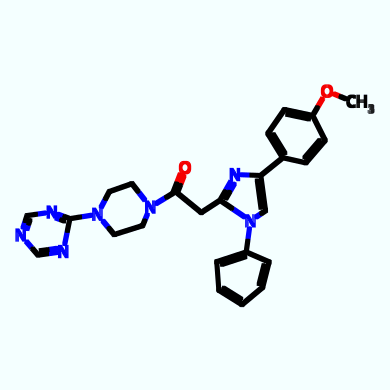 COc1ccc(-c2cn(-c3ccccc3)c(CC(=O)N3CCN(c4ncncn4)CC3)n2)cc1